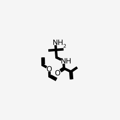 C=C(C)C(=O)NCC(C)(C)N.C=COC=C